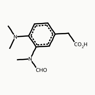 CN(C)c1ccc(CC(=O)O)cc1N(C)C=O